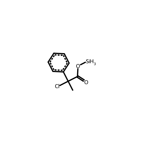 CC(Cl)(C(=O)O[SiH3])c1ccccc1